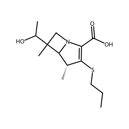 CCCSC1=C(C(=O)O)N2CC(C)(C(C)O)C2[C@H]1C